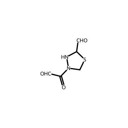 O=CC(=O)N1CSC(C=O)N1